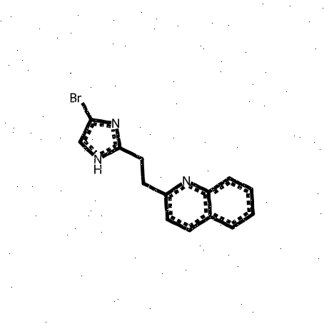 Brc1c[nH]c(CCc2ccc3ccccc3n2)n1